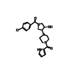 O=C(c1ccc(Cl)cc1)N1CC(O)C(N2CCN(C(=O)c3ccc[nH]3)CC2)C1